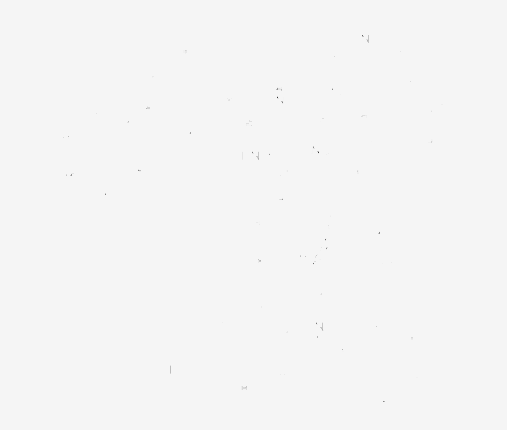 FC(F)(F)c1ccc(-n2c3ccccc3c3cc(-c4ccc5sc6cncc(C7=NC(c8ccccc8)NC(c8cccc(-c9ccccc9)c8)=N7)c6c5c4)ccc32)cc1